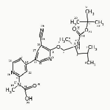 CC(C)C[C@@](C)(COc1ncc(-c2ccnc(N(C)C(=O)O)c2)cc1C#N)NC(=O)OC(C)(C)C